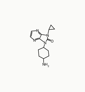 NC1CCC(n2c(=O)n(C3CC3)c3nccnc32)CC1